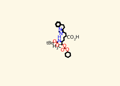 CC(OC(=O)OC1CCCCC1)C(CC[C@@H](Cc1ncn2c1CCc1ccccc1-2)C(=O)O)NC(=O)OC(C)(C)C